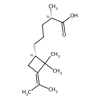 CC(C)=C1C[C@H](CCC[C@H](C)C(=O)O)C1(C)C